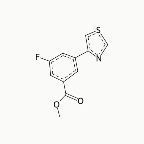 COC(=O)c1cc(F)cc(-c2cscn2)c1